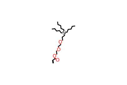 C=CC(=O)OCCOCCOCCC[Si](CCCCC)(CCCCC)CCCCC